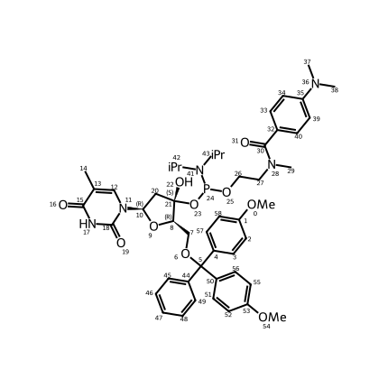 COc1ccc(C(OC[C@H]2O[C@@H](n3cc(C)c(=O)[nH]c3=O)C[C@]2(O)OP(OCCN(C)C(=O)c2ccc(N(C)C)cc2)N(C(C)C)C(C)C)(c2ccccc2)c2ccc(OC)cc2)cc1